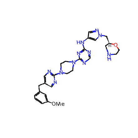 COc1cccc(Cc2cnc(N3CCN(c4ncnc(Nc5cnn(C[C@@H]6CNCCO6)c5)n4)CC3)nc2)c1